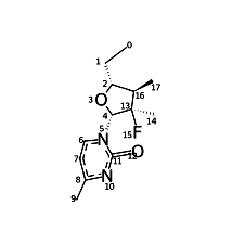 CC[C@H]1O[C@@H](n2ccc(C)nc2=O)[C@](C)(F)[C@@H]1C